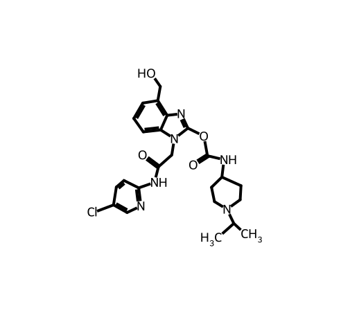 CC(C)N1CCC(NC(=O)Oc2nc3c(CO)cccc3n2CC(=O)Nc2ccc(Cl)cn2)CC1